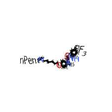 CCCCCN(C)CCCCCCO[C@H]1CC[C@H](N(C)C(=O)Nc2ccc(C(F)(F)F)cc2)CC1